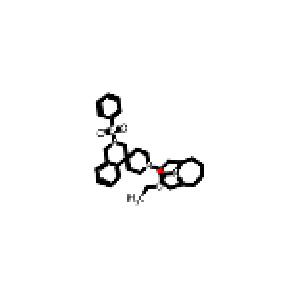 CCOC(=O)N1C2CCCCC1CC(N1CCC3(CC1)CN(S(=O)(=O)c1ccccc1)Cc1ccccc13)CC2